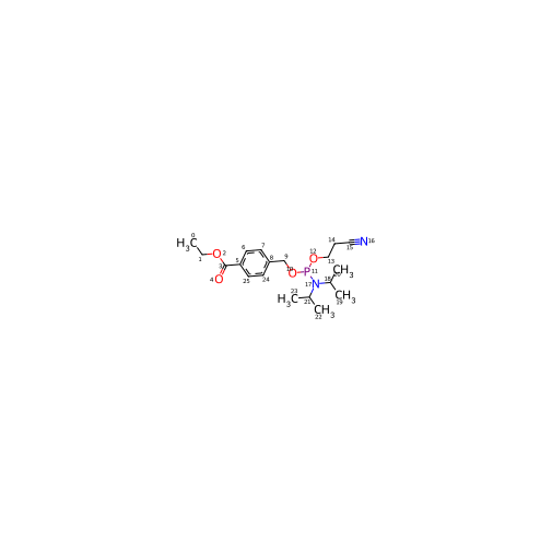 CCOC(=O)c1ccc(COP(OCCC#N)N(C(C)C)C(C)C)cc1